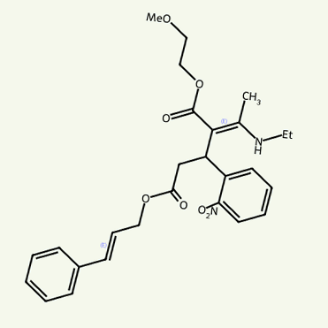 CCN/C(C)=C(/C(=O)OCCOC)C(CC(=O)OC/C=C/c1ccccc1)c1ccccc1[N+](=O)[O-]